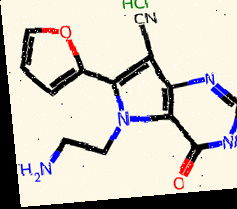 Cl.N#Cc1c(-c2ccco2)n(CCN)c2c(=O)[nH]cnc12